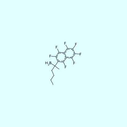 BC(C)(CCCC)c1c(F)c(F)c2c(F)c(F)c(F)c(F)c2c1F